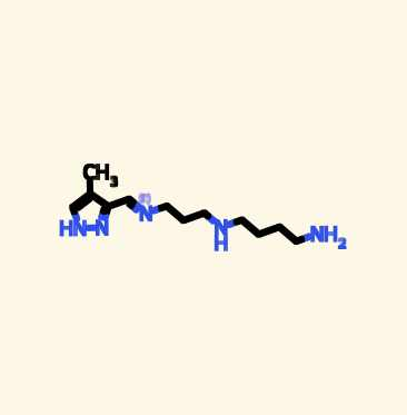 Cc1c[nH]nc1/C=N/CCCNCCCCN